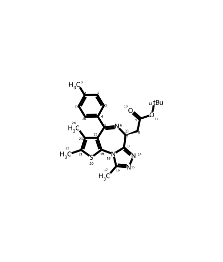 Cc1ccc(C2=N[C@@H](CC(=O)OC(C)(C)C)c3nnc(C)n3-c3sc(C)c(C)c32)cc1